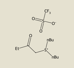 CCCC[S+](CCCC)CC(=O)CC.O=S(=O)([O-])C(F)(F)F